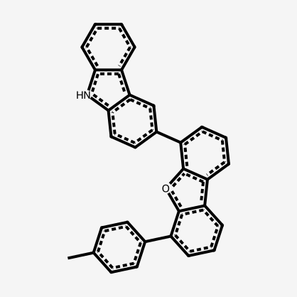 Cc1ccc(-c2cccc3c2oc2c(-c4ccc5[nH]c6ccccc6c5c4)cccc23)cc1